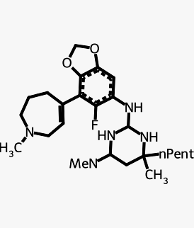 CCCCCC1(C)CC(NC)NC(Nc2cc3c(c(C4=CCN(C)CCC4)c2F)OCO3)N1